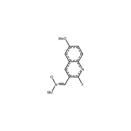 COc1ccc2nc(F)c(/C=[N+](\[O-])C(C)(C)C)cc2c1